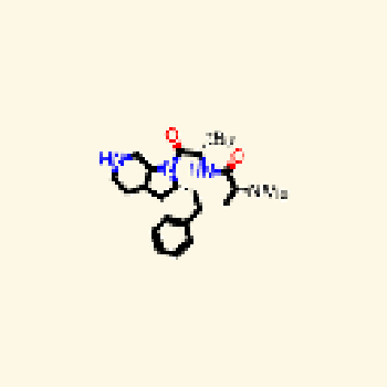 CN[C@@H](C)C(=O)N[C@H](C(=O)N1C2CNCCC2C[C@H]1CCc1ccccc1)C(C)(C)C